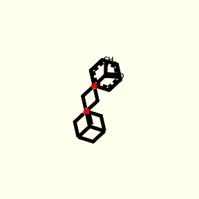 CC(=O)OCC=C1C2CC1CN(Cc1ccccc1)C2